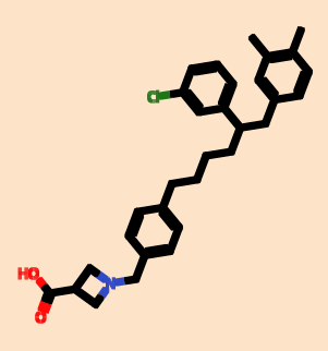 Cc1ccc(CC(CCCCc2ccc(CN3CC(C(=O)O)C3)cc2)c2cccc(Cl)c2)cc1C